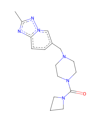 Cc1nc2ccc(CN3CCN(C(=O)N4CCC4)CC3)cn2n1